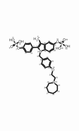 Cc1c(-c2ccc(OP(=O)(O)O)cc2)n(Cc2ccc(OCCN3CCCCCC3)cc2)c2ccc(OP(=O)(O)O)cc12